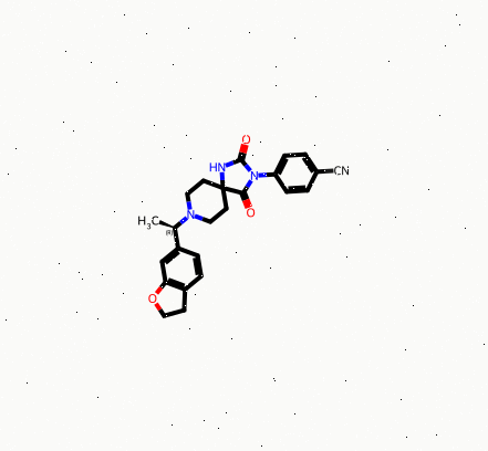 C[C@H](c1ccc2c(c1)OCC2)N1CCC2(CC1)NC(=O)N(c1ccc(C#N)cc1)C2=O